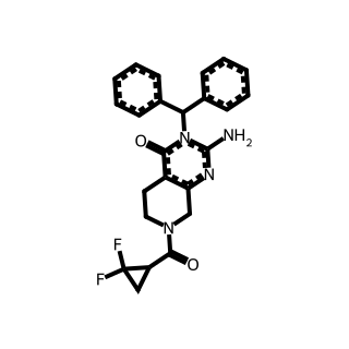 Nc1nc2c(c(=O)n1C(c1ccccc1)c1ccccc1)CCN(C(=O)C1CC1(F)F)C2